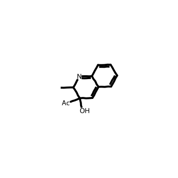 CC(=O)C1(O)C=c2ccccc2=NC1C